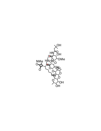 CNc1c(C(CCCCCO[C@@H]2OC(C)[C@H](O)[C@H](O)C2O[C@@H]2OC(C)[C@H](O)[C@H](O[C@@H]3OC(C)[C@H](O)[C@H](O[C@@H]4OC(C)[C@@H](NC(=O)CC(C)(C)O)[C@H](O)C4OC)C3O)C2O)NCNCO)c(=O)c1=O